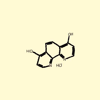 Cl.Oc1ccnc2c1ccc1c(O)ccnc12